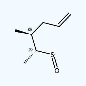 C=CC[C@H](C)[C@@H](C)[S]=O